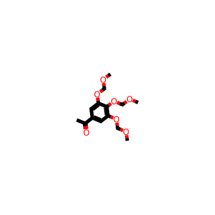 COCOc1cc(C(C)=O)cc(OCOC)c1OCOC